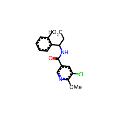 COc1ncc(C(=O)NC(CC(=O)O)c2ccccc2C)cc1Cl